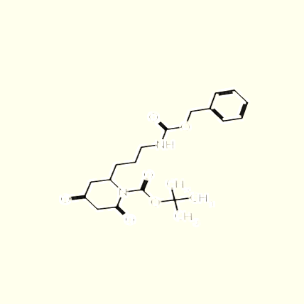 CC(C)(C)OC(=O)N1C(=O)CC(=O)CC1CCCNC(=O)OCc1ccccc1